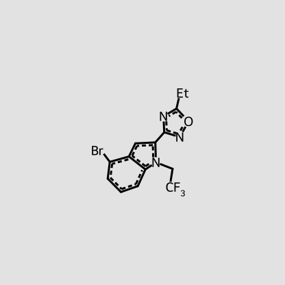 CCc1nc(-c2cc3c(Br)cccc3n2CC(F)(F)F)no1